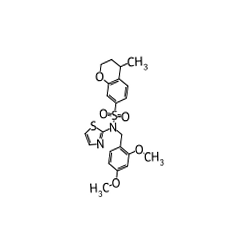 COc1ccc(CN(c2nccs2)S(=O)(=O)c2ccc3c(c2)OCCC3C)c(OC)c1